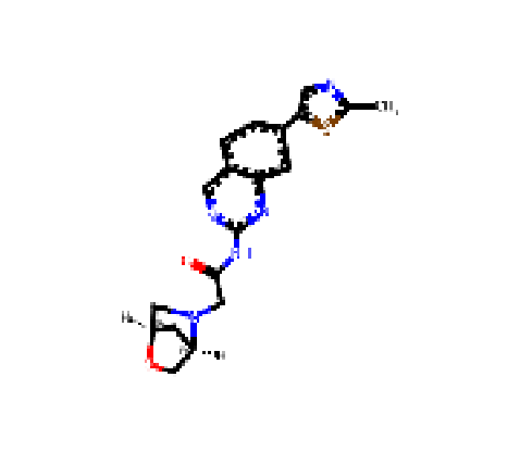 Cc1ncc(-c2ccc3cnc(NC(=O)CN4C[C@H]5C[C@@H]4CO5)nc3c2)s1